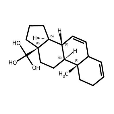 C[C@]12CCC=CC1C=C[C@H]1[C@@H]3CCC[C@@]3(C(O)(O)O)CC[C@@H]12